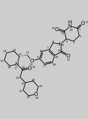 O=C1CCC(N2Cc3cc(OC[C@H]4CCCCN4C(=O)CC4CCOCC4)ccc3C2=O)C(=O)N1